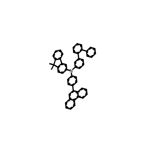 CC1(C)c2ccccc2-c2cc(N(c3ccc(-c4cc5ccccc5c5ccccc45)cc3)c3cccc(-c4ccccc4-c4ccccc4)c3)ccc21